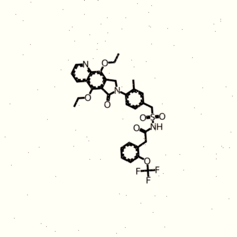 CCOc1c2c(c(OCC)c3ncccc13)CN(c1ccc(CS(=O)(=O)NC(=O)Cc3ccccc3OC(F)(F)F)cc1C)C2=O